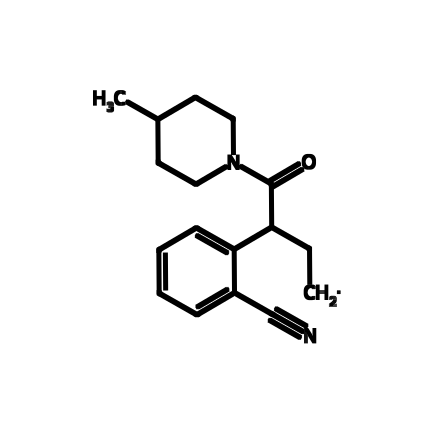 [CH2]CC(C(=O)N1CCC(C)CC1)c1ccccc1C#N